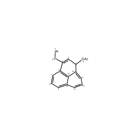 CC(=O)OC1C=C(OC(C)C)c2cccc3cccc1c23